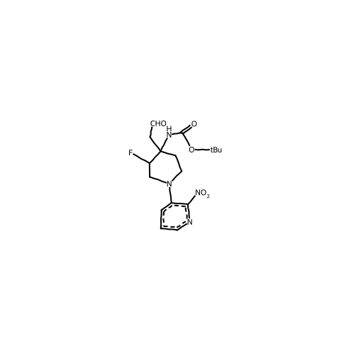 CC(C)(C)OC(=O)NC1(CC=O)CCN(c2cccnc2[N+](=O)[O-])CC1F